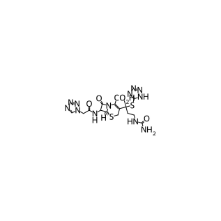 CC(CCNC(N)=O)(Sc1nnn[nH]1)C1=C(C(=O)O)N2C(=O)C(NC(=O)Cn3cnnn3)[C@@H]2SC1